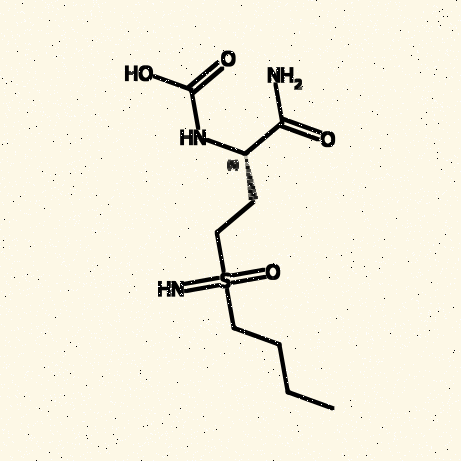 CCCCS(=N)(=O)CC[C@H](NC(=O)O)C(N)=O